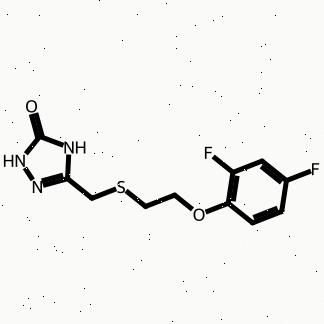 O=c1[nH]nc(CSCCOc2ccc(F)cc2F)[nH]1